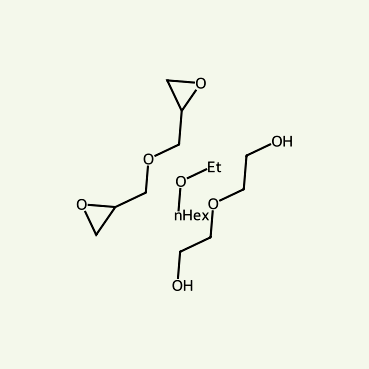 C(OCC1CO1)C1CO1.CCCCCCOCC.OCCOCCO